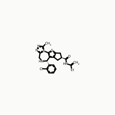 C=C(CC)NC(=O)[C@@H]1Cc2sc3c(c2C1)[C@H](c1ccccc1Cl)NCc1nnc(C)n1-3